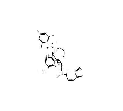 COc1ccc2c3c1O[C@H]1[C@H](N(C)C(=O)/C=C\c4ccoc4)CC[C@@]4(O)[C@@H](C2)N(S(=O)(=O)c2c(C)cc(C)cc2C)CCC[C@]314